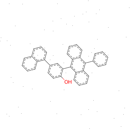 Oc1ccc(-c2cccc3ccccc23)cc1-c1c2ccccc2c(-c2ccccc2)c2ccccc12